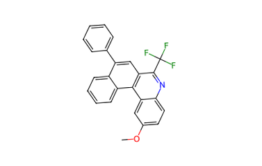 COc1ccc2nc(C(F)(F)F)c3cc(-c4ccccc4)c4ccccc4c3c2c1